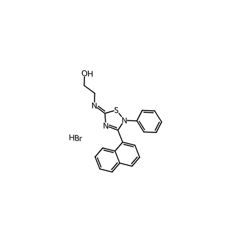 Br.OCC/N=c1/nc(-c2cccc3ccccc23)n(-c2ccccc2)s1